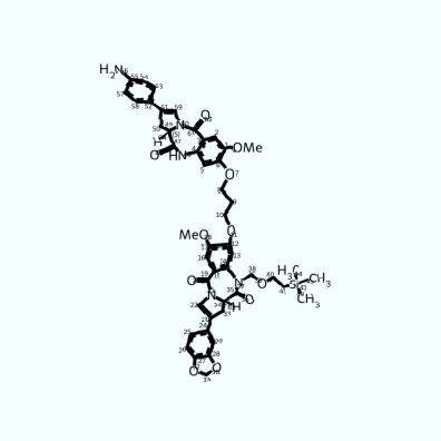 COc1cc2c(cc1OCCCOc1cc3c(cc1OC)C(=O)N1C=C(c4ccc5c(c4)OCO5)C[C@H]1C(=O)N3COCC[Si](C)(C)C)NC(=O)[C@@H]1CC(c3ccc(N)cc3)=CN1C2=O